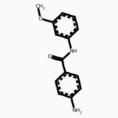 COc1cccc(NC(=O)c2ccc(N)cc2)c1